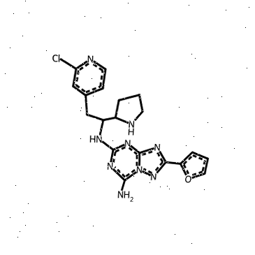 Nc1nc(NC(Cc2ccnc(Cl)c2)C2CCCN2)nc2nc(-c3ccco3)nn12